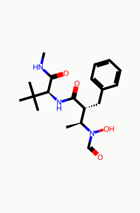 CNC(=O)[C@@H](NC(=O)[C@H](Cc1ccccc1)[C@H](C)N(O)C=O)C(C)(C)C